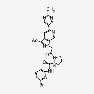 CC(=O)c1nn(CC(=O)N2CCC[C@H]2C(=O)Nc2cccc(Br)n2)c2cnc(-c3cnc(C)nc3)cc12